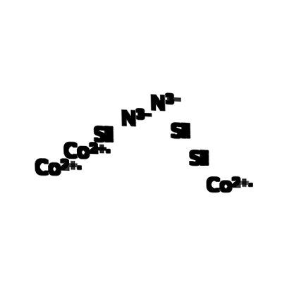 [Co+2].[Co+2].[Co+2].[N-3].[N-3].[Si].[Si].[Si]